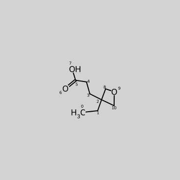 CCC1(CCC(=O)O)COC1